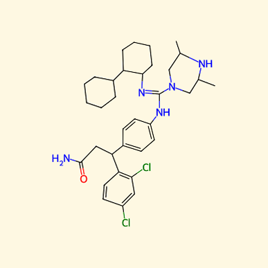 CC1CN(/C(=N\C2CCCCC2C2CCCCC2)Nc2ccc(C(CC(N)=O)c3ccc(Cl)cc3Cl)cc2)CC(C)N1